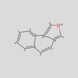 c1ccc2c(c1)ccc1cocc12